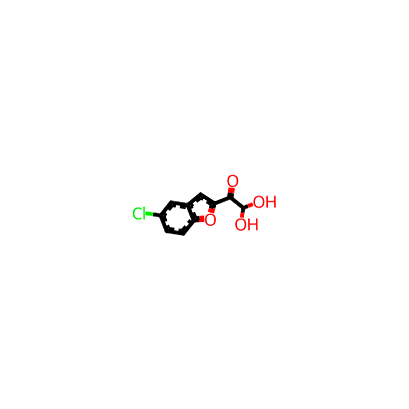 O=C(c1cc2cc(Cl)ccc2o1)C(O)O